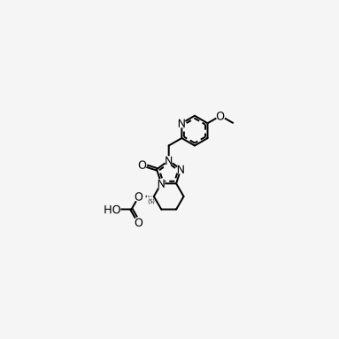 COc1ccc(Cn2nc3n(c2=O)[C@@H](OC(=O)O)CCC3)nc1